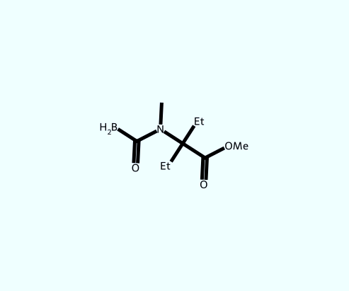 BC(=O)N(C)C(CC)(CC)C(=O)OC